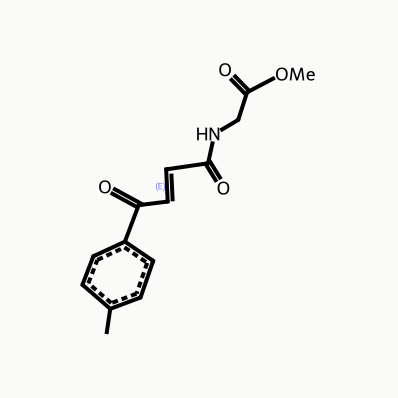 COC(=O)CNC(=O)/C=C/C(=O)c1ccc(C)cc1